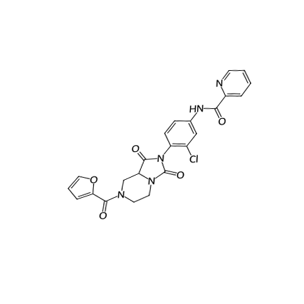 O=C(Nc1ccc(N2C(=O)C3CN(C(=O)c4ccco4)CCN3C2=O)c(Cl)c1)c1ccccn1